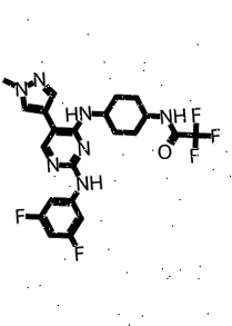 Cn1cc(-c2cnc(Nc3cc(F)cc(F)c3)nc2NC2CCC(NC(=O)C(F)(F)F)CC2)cn1